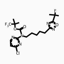 CC(C)(F)c1nc(CCCCCN(C(=O)OC(C)(C)C(F)(F)F)c2nccc(Cl)n2)no1